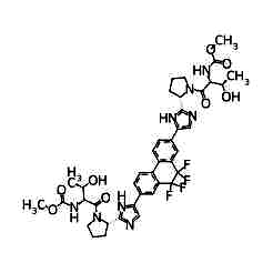 COC(=O)N[C@H](C(=O)N1CCC[C@H]1c1ncc(-c2ccc3c(c2)C(F)(F)C(F)(F)c2cc(-c4cnc([C@@H]5CCCN5C(=O)[C@@H](NC(=O)OC)[C@@H](C)O)[nH]4)ccc2-3)[nH]1)[C@@H](C)O